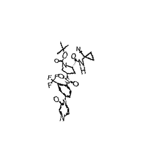 CC(C)(C)OC(=O)N1C[C@H](S(=O)(=O)c2ccc(-n3ccncc3=O)cc2C(F)(F)F)C[C@H]1C(=O)NC1(C#N)CC1